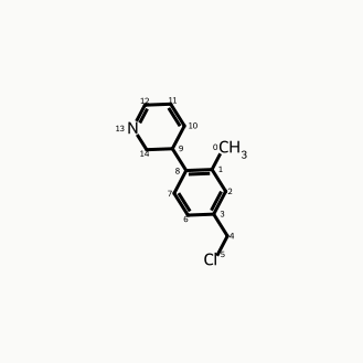 Cc1cc(CCl)ccc1C1C=CC=NC1